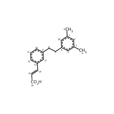 Cc1cc(C)cc(CCc2cccc(/C=C/C(=O)O)c2)c1